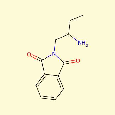 CCC(N)CN1C(=O)c2ccccc2C1=O